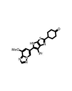 COc1cc(-c2[nH]c3sc(C4CCC(=O)CC4)nc3c2C(C)C)cn2ncnc12